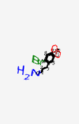 NCCCc1cc2c(cc1Br)OCO2